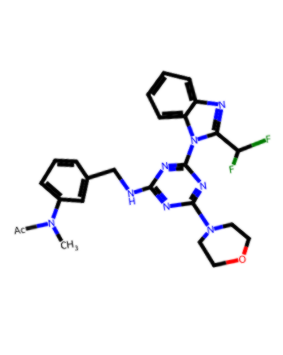 CC(=O)N(C)c1cccc(CNc2nc(N3CCOCC3)nc(-n3c(C(F)F)nc4ccccc43)n2)c1